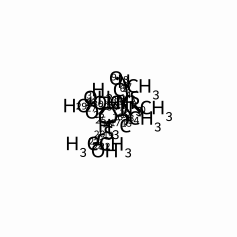 C/C=C1\SC(C(C)(C)N=O)=NN1C(=C(C)C)C1C=C(SCC(C)(C)O)CC(OC(O)(O)O)=CC1C